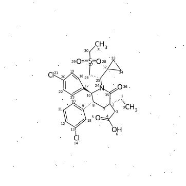 CC[C@]1(CC(=O)O)C[C@H](c2cccc(Cl)c2)[C@@H](c2ccc(Cl)cc2)N([C@H](CS(=O)(=O)CC)C2CC2)C1=O